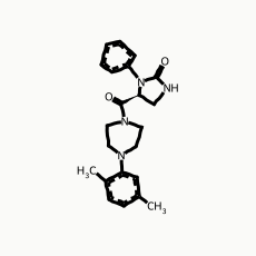 Cc1ccc(C)c(N2CCN(C(=O)[C@@H]3CNC(=O)N3c3ccccc3)CC2)c1